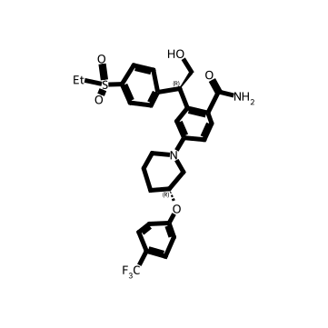 CCS(=O)(=O)c1ccc([C@@H](CO)c2cc(N3CCC[C@@H](Oc4ccc(C(F)(F)F)cc4)C3)ccc2C(N)=O)cc1